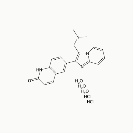 CN(C)Cc1c(-c2ccc3[nH]c(=O)ccc3c2)nc2ccccn12.Cl.Cl.O.O.O